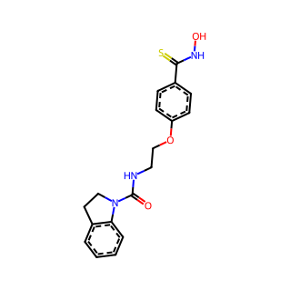 O=C(NCCOc1ccc(C(=S)NO)cc1)N1CCc2ccccc21